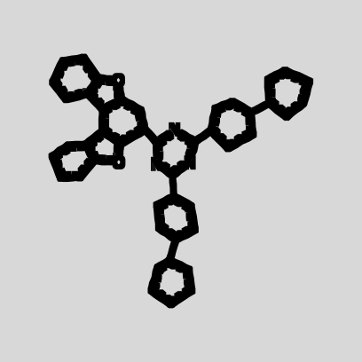 c1ccc(-c2ccc(-c3nc(-c4ccc(-c5ccccc5)cc4)nc(-c4cc5oc6ccccc6c5c5c4oc4ccccc45)n3)cc2)cc1